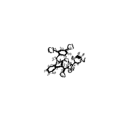 O=C(c1nc(-c2cnccn2)no1)c1c(Cl)n(Cc2ccc(Cl)cc2Cl)c2ccccc12